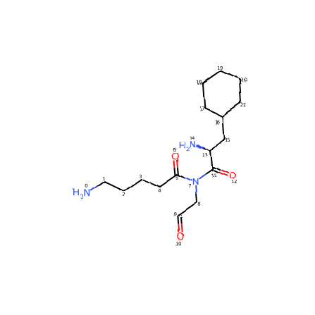 NCCCCC(=O)N(C[C]=O)C(=O)[C@@H](N)CC1CCCCC1